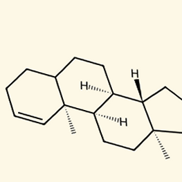 C[C@@]12CCC[C@H]1[C@@H]1CCC3CCC=C[C@]3(C)[C@@H]1CC2